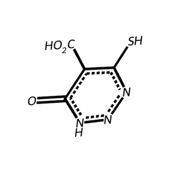 O=C(O)c1c(S)nn[nH]c1=O